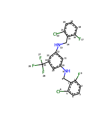 Fc1cccc(Cl)c1CNc1cc(NCc2c(F)cccc2Cl)cc(C(F)(F)F)c1